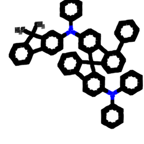 CC1(C)c2ccccc2-c2ccc(N(c3ccccc3)c3ccc4c(c3)C3(c5ccccc5-c5ccc(N(c6ccccc6)c6ccccc6)cc53)c3cccc(-c5ccccc5)c3-4)cc21